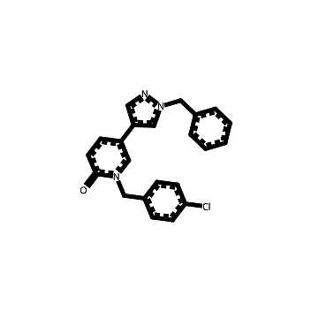 O=c1ccc(-c2cnn(Cc3ccccc3)c2)cn1Cc1ccc(Cl)cc1